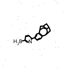 Bc1ccc(-c2ccc3c(c2)C2CC4CC5CC3CC54C2)nc1